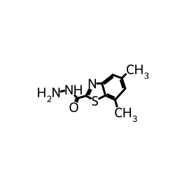 Cc1cc(C)c2sc(C(=O)NN)nc2c1